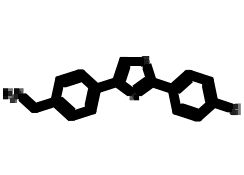 NCc1ccc(-c2csc(-c3ccc(Cl)cc3)n2)cc1